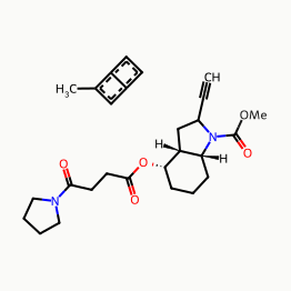 C#CC1C[C@H]2[C@@H](OC(=O)CCC(=O)N3CCCC3)CCC[C@H]2N1C(=O)OC.Cc1cc2ccc1-2